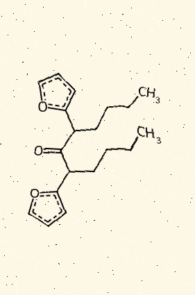 CCCCC(C(=O)C(CCCC)c1ccco1)c1ccco1